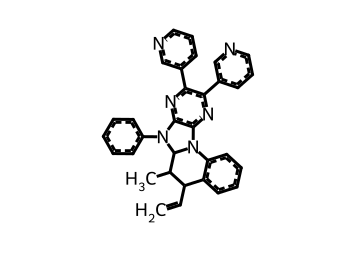 C=CC1c2ccccc2N2c3nc(-c4cccnc4)c(-c4cccnc4)nc3N(c3ccccc3)C2C1C